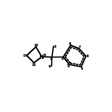 CC(C)(c1[c]cccc1)N1CCC1